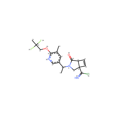 Cc1cc(C(C)N2CC3(C(=N)Cl)C=CC3C2=O)cnc1OCC(C)(F)F